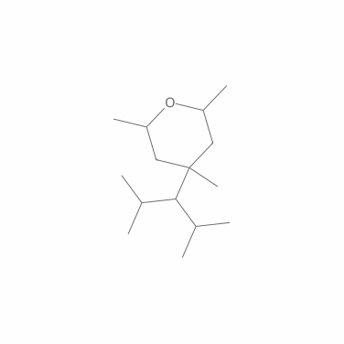 CC1CC(C)(C(C(C)C)C(C)C)CC(C)O1